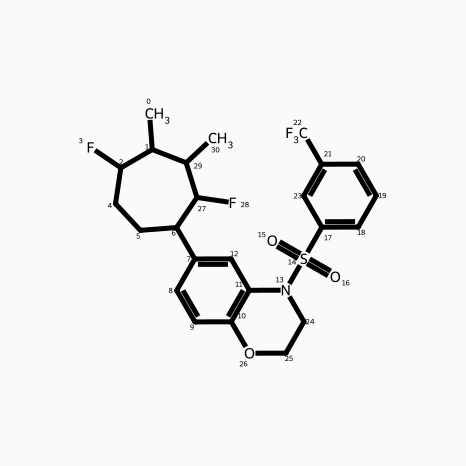 CC1C(F)CCC(c2ccc3c(c2)N(S(=O)(=O)c2cccc(C(F)(F)F)c2)CCO3)C(F)C1C